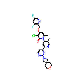 Cc1cnc(-c2ccnc(N3CC4(CCOCC4)C3)n2)cc1-n1c(C)cc(OCc2ncc(F)cc2F)c(Cl)c1=O